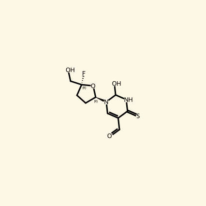 O=CC1=CN([C@H]2CC[C@@](F)(CO)O2)C(O)NC1=S